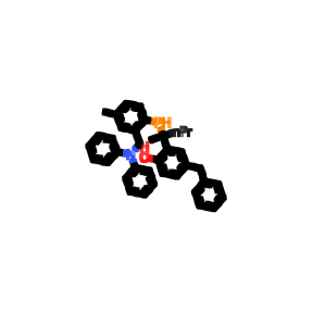 CCCC(C)(Pc1ccc(C)cc1CN(c1ccccc1)c1ccccc1)c1cc(Cc2ccccc2)ccc1O